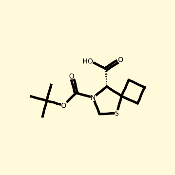 CC(C)(C)OC(=O)N1CSC2(CCC2)[C@H]1C(=O)O